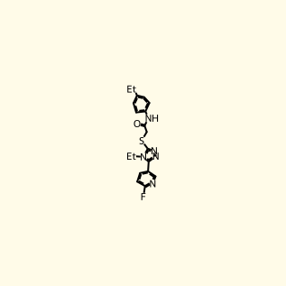 CCc1ccc(NC(=O)CSc2nnc(-c3ccc(F)nc3)n2CC)cc1